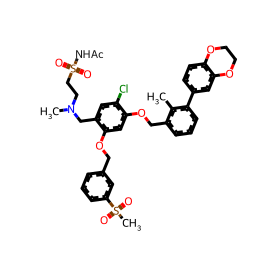 CC(=O)NS(=O)(=O)CCN(C)Cc1cc(Cl)c(OCc2cccc(-c3ccc4c(c3)OCCO4)c2C)cc1OCc1cccc(S(C)(=O)=O)c1